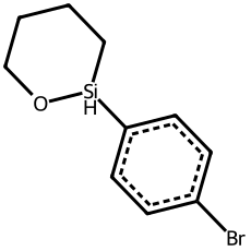 Brc1ccc([SiH]2CCCCO2)cc1